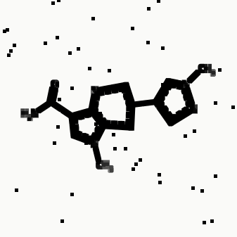 Cn1cc(-c2cnc3c(C(N)=O)cn(C)c3c2)cn1